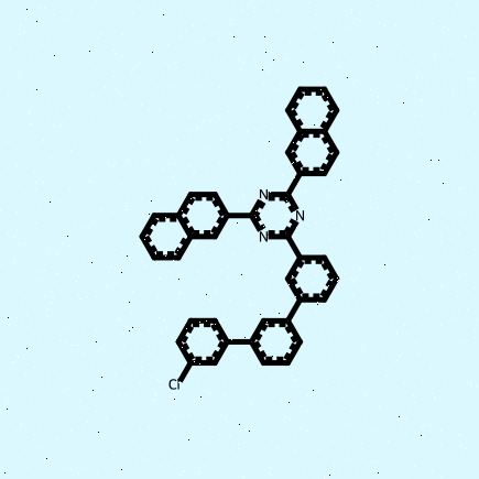 Clc1cccc(-c2cccc(-c3cccc(-c4nc(-c5ccc6ccccc6c5)nc(-c5ccc6ccccc6c5)n4)c3)c2)c1